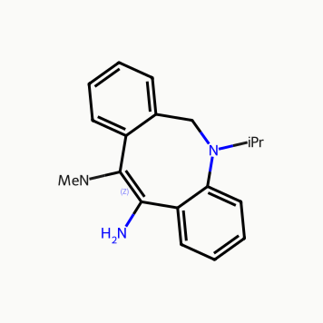 CN/C1=C(\N)c2ccccc2N(C(C)C)Cc2ccccc21